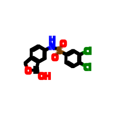 O=S(=O)(Nc1ccc2c(c1)B(O)OC2)c1ccc(Cl)c(Cl)c1